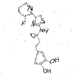 O=C(C=Cc1ccc(O)c(O)c1)Nc1nc(-c2ncccc2F)cs1